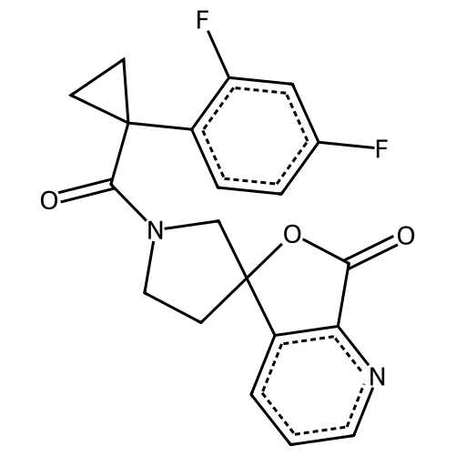 O=C1OC2(CCN(C(=O)C3(c4ccc(F)cc4F)CC3)C2)c2cccnc21